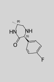 C[C@@H]1CN[C@@H](c2ccc(F)cc2)C(=O)N1